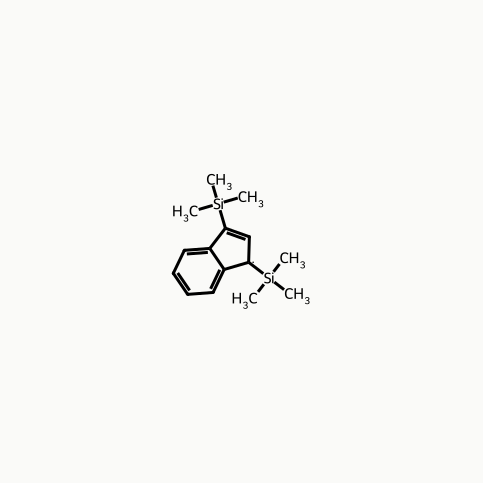 C[Si](C)(C)[C]1C=C([Si](C)(C)C)c2ccccc21